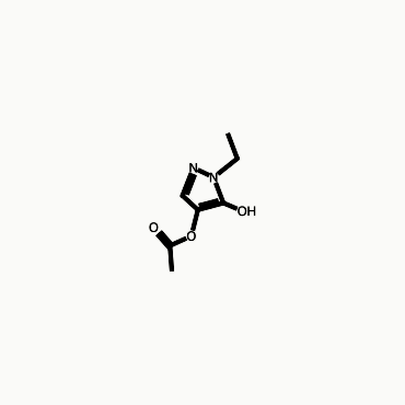 CCn1ncc(OC(C)=O)c1O